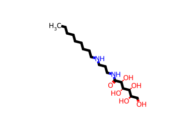 CCCCCCCCCNCCCNC(=O)[C@H](O)[C@@H](O)[C@H](O)[C@H](O)CO